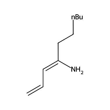 C=CC=C(N)CCCCCC